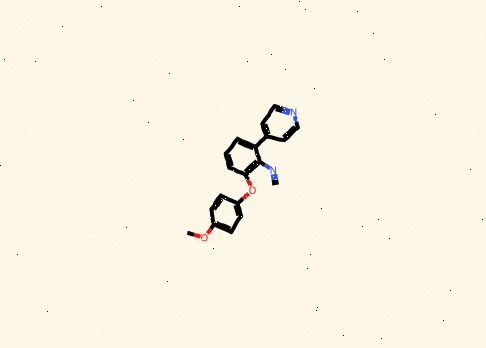 C=Nc1c(Oc2ccc(OC)cc2)cccc1-c1ccncc1